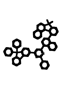 CC1(C)c2cccc(-c3ccc(-c4cc(-c5ccc6c(c5)-c5ccccc5C6(c5ccccc5)c5ccccc5)nc(-c5ccccc5)n4)c4ccccc34)c2-c2c1ccc1ccccc21